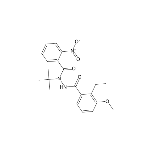 CCc1c(OC)cccc1C(=O)NN(C(=O)c1ccccc1[N+](=O)[O-])C(C)(C)C